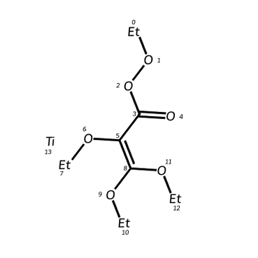 CCOOC(=O)C(OCC)=C(OCC)OCC.[Ti]